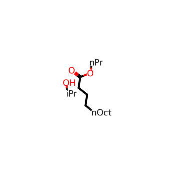 CC(C)O.CCCCCCCCCCCC(=O)OCCC